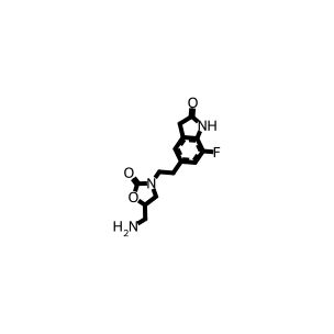 NCC1CN(CCc2cc(F)c3c(c2)CC(=O)N3)C(=O)O1